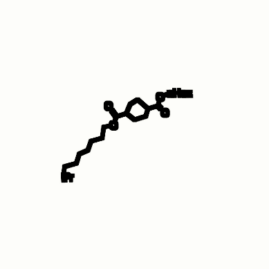 CCCCCCOC(=O)C1CCC(C(=O)OCCCCCCCC(C)C)CC1